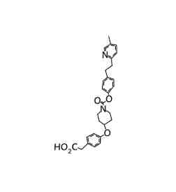 Cc1ccc(CCc2ccc(OC(=O)N3CCC(Oc4ccc(CC(=O)O)cc4)CC3)cc2)nc1